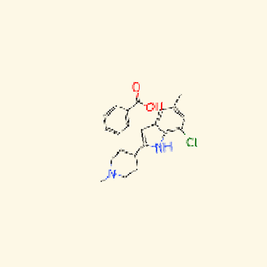 Cc1cc(Cl)c2[nH]c(C3CCN(C)CC3)cc2c1.O=C(O)c1ccccc1